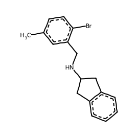 Cc1ccc(Br)c(CNC2Cc3ccccc3C2)c1